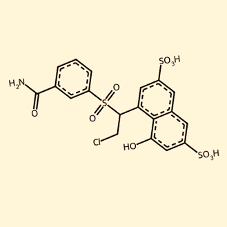 NC(=O)c1cccc(S(=O)(=O)C(CCl)c2cc(S(=O)(=O)O)cc3cc(S(=O)(=O)O)cc(O)c23)c1